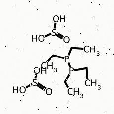 CCP(CC)P(CC)CC.O=S(O)O.O=S(O)O